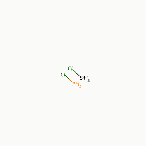 PCl.[SiH3]Cl